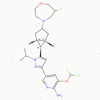 CC(C)n1nc(-c2cnc(N)c(OC(F)F)c2)cc1[C@H]1[C@@H]2CC(N3CCOCC(F)C3)C[C@@H]21